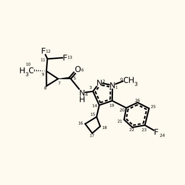 Cn1nc(NC(=O)[C@H]2C[C@@]2(C)C(F)F)c(C2CCC2)c1-c1ccc(F)cc1